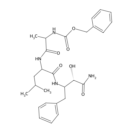 CC(C)CC(NC(=O)C(C)NC(=O)OCc1ccccc1)C(=O)NC(Cc1ccccc1)[C@H](O)C(N)=O